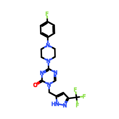 O=c1nc(N2CCN(c3ccc(F)cc3)CC2)ncn1Cc1cc(C(F)(F)F)n[nH]1